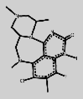 Cc1c(Cl)c2c3c(nc(=O)n(I)c3c1F)N1C(C)CN(C)CC1CN2C